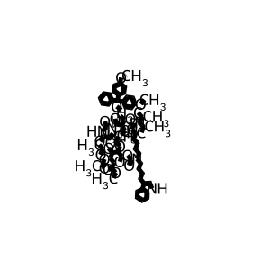 COC(=O)C1OC(OC(=O)N(CCCCCOP(OC2C(OC)[C@H](N3C=CC(=O)NC3O)O[C@@H]2COC(c2ccccc2)(c2ccc(OC)cc2)c2ccc(OC)cc2)N(C(C)C)C(C)C)CCCCc2c[nH]c3ccccc23)C(OC(C)=O)C(OC(C)=O)C1OC(C)=O